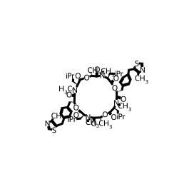 Cc1ncsc1Cc1ccc(C[C@H]2OC(=O)[C@H](CC(C)C)N(C)C(=O)[C@@H](C)OC(=O)[C@H](CC(C)C)N(C)C(=O)[C@@H](Cc3ccc(Cc4scnc4C)cc3)OC(=O)[C@H](CC(C)C)N(C)C(=O)[C@@H](C)OC(=O)[C@H](CC(C)C)N(C)C2=O)cc1